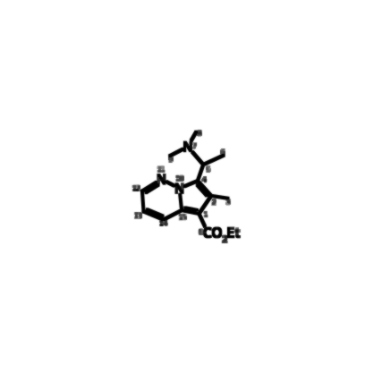 CCOC(=O)c1c(C)c(C(C)N(C)C)n2ncccc12